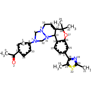 CC(=O)c1ccc(N2CN3CC=C4C(c5ccc(-c6nc(C)sc6C)cc5OC4(C)C)N3C2)cc1